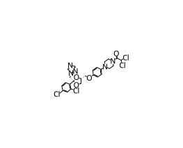 O=C(C(Cl)Cl)N1CCN(c2ccc(OC[C@@H]3CO[C@@](Cn4cncn4)(c4ccc(Cl)cc4Cl)O3)cc2)CC1